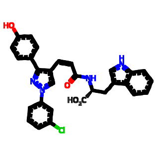 O=C(/C=C\c1cn(-c2cccc(Cl)c2)nc1-c1ccc(O)cc1)N[C@@H](Cc1c[nH]c2ccccc12)C(=O)O